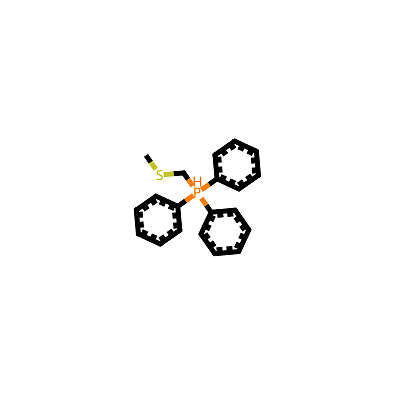 CSC[PH](c1ccccc1)(c1ccccc1)c1ccccc1